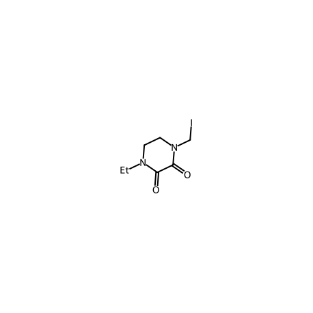 CCN1CCN(CI)C(=O)C1=O